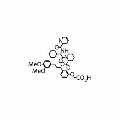 COc1ccc(CCC(OC(=O)[C@@H]2CCCCN2C(=O)C(NC(=O)c2ccccn2)C2CCCCC2)c2cccc(OCC(=O)O)c2)cc1OC